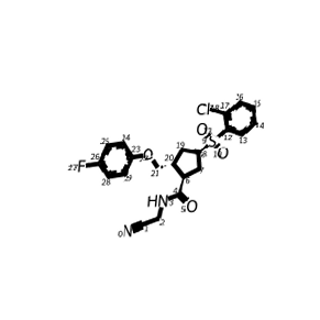 N#CCNC(=O)[C@@H]1C[C@H](S(=O)(=O)c2ccccc2Cl)C[C@H]1COc1ccc(F)cc1